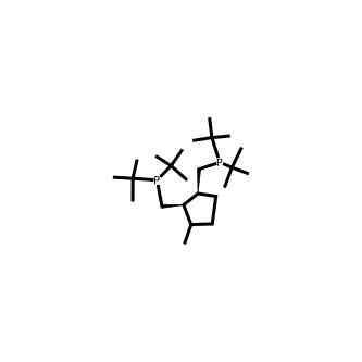 CC1CC[C@H](CP(C(C)(C)C)C(C)(C)C)[C@@H]1CP(C(C)(C)C)C(C)(C)C